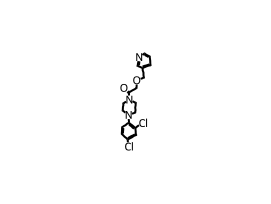 O=C(COCc1cccnc1)N1CCN(c2ccc(Cl)cc2Cl)CC1